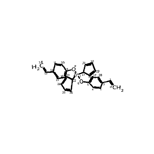 C=Cc1ccc([O][Zr]([O]c2ccc(C=C)cc2)([CH]2C=CC=C2)[CH]2C=CC=C2)cc1